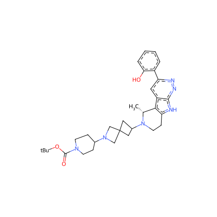 C[C@@H]1c2c([nH]c3nnc(-c4ccccc4O)cc23)CCN1C1CC2(C1)CN(C1CCN(C(=O)OC(C)(C)C)CC1)C2